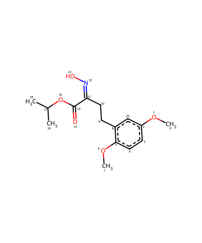 COc1ccc(OC)c(CC/C(=N/O)C(=O)OC(C)C)c1